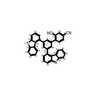 N#Cc1ccc(-c2cc(-c3cccc4sc5ccccc5c34)cc(-c3cccc4sc5ccccc5c34)c2)c(C#N)c1